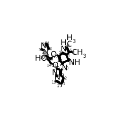 Cc1[nH]c2c(c1C)C(=N)/C(=N/c1c(OCCO)nn3ccccc13)C=C2OCCn1ccnc1